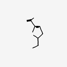 NCC1CC=C(C(=O)O)O1